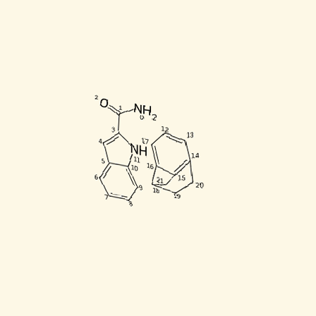 NC(=O)c1cc2ccccc2[nH]1.c1cc2c3c(c1)C(CC2)C3